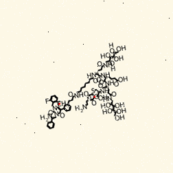 Cc1c(-c2cccc(CCC(=O)NCCCCCCCC(=O)N[C@H](CCC(=O)NC[C@H](O)[C@@H](O)[C@H](O)[C@H](O)CO)C(=O)N[C@H](CCCC(=O)O)C(=O)N[C@H](CCC(=O)NC[C@H](O)[C@@H](O)[C@H](O)[C@H](O)CO)C(=O)N[C@H](CSC3CC(=O)N(CCN)C3=O)C(=O)O)c2)c(=O)n(C[C@@H](N)c2ccccc2)c(=O)n1Cc1c(F)cccc1F